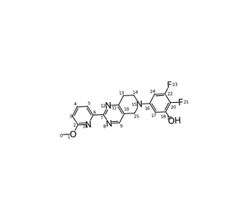 COc1cccc(-c2ncc3c(n2)CCN(c2cc(O)c(F)c(F)c2)C3)n1